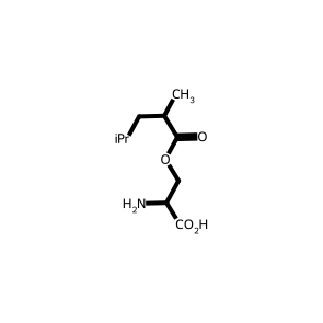 CC(C)CC(C)C(=O)OCC(N)C(=O)O